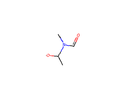 CC([O])N(C)C=O